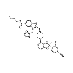 CCCCOC(=O)c1ccc2nc(CN3CCC(c4cccc5c4OC(C)(c4ccc(C#N)cc4F)O5)CC3)n(Cc3ncco3)c2c1